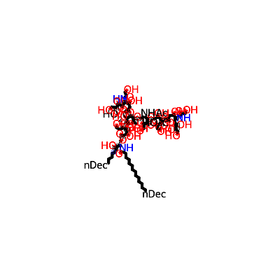 CCCCCCCCCCCCC/C=C/[C@@H](O)[C@H](CO[C@@H]1OC(CO)[C@@H](O[C@@H]2OC(CO)[C@H](O[C@@H]3OC(CO)[C@H](O)[C@H](O[C@@H]4OC(CO)[C@H](O)[C@H](O[C@]5(C(=O)O)CC(O)[C@@H](NC(=O)CO)C([C@H](O)[C@H](O)CO)O5)C4O)C3NC(C)=O)[C@H](O[C@]3(C(=O)O)CC(O)[C@@H](NC(=O)CO)C([C@H](O)[C@H](O)CO)O3)C2O)[C@H](O)C1O)NC(=O)CCCCCCCCCCCCCCCCCCCCCCC